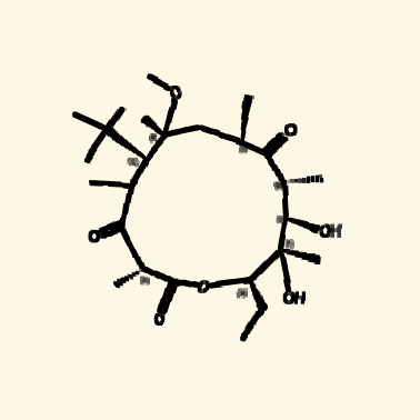 CC[C@H]1OC(=O)[C@H](C)C(=O)C(C)[C@@H](C(C)(C)C)[C@](C)(OC)C[C@@H](C)C(=O)[C@H](C)[C@@H](O)[C@]1(C)O